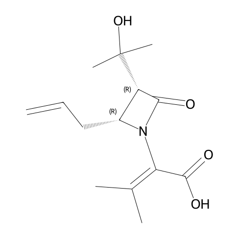 C=CC[C@@H]1[C@H](C(C)(C)O)C(=O)N1C(C(=O)O)=C(C)C